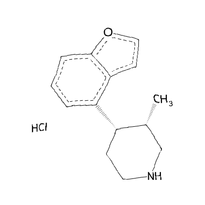 C[C@@H]1CNCC[C@@H]1c1cccc2occc12.Cl